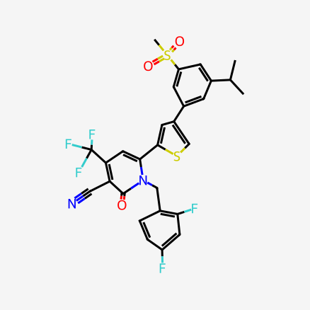 CC(C)c1cc(-c2csc(-c3cc(C(F)(F)F)c(C#N)c(=O)n3Cc3ccc(F)cc3F)c2)cc(S(C)(=O)=O)c1